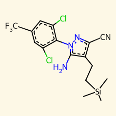 C[Si](C)(C)CCc1c(C#N)nn(-c2c(Cl)cc(C(F)(F)F)cc2Cl)c1N